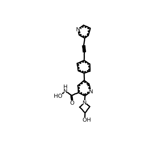 O=C(NO)c1cc(-c2ccc(C#Cc3cccnc3)cc2)cnc1N1CC(O)C1